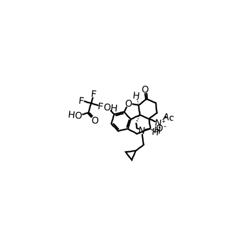 CC(=O)[N@@H+]([O-])C12CCC(=O)[C@@H]3Oc4c(O)ccc5c4[C@@]31CCN(CC1CC1)[C@@H]2C5.O=C(O)C(F)(F)F